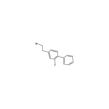 Fc1cc(CCBr)ccc1-c1ccccc1